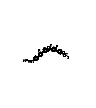 CCCCCc1ccc(-c2ccc(-c3ccc(OC(F)(F)c4ccc(-c5ccc(OC(F)(F)F)cc5)c(F)c4)cc3)c(F)c2)cc1